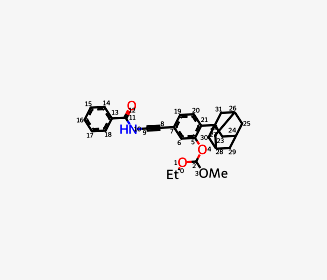 CCOC(OC)Oc1cc(C#CNC(=O)c2ccccc2)ccc1C12CC3CC(CC(C3)C1)C2